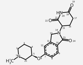 CN1CCC[C@@H](Oc2ccc3c(c2)CN(C2CCC(=O)NC2=O)C3=O)C1